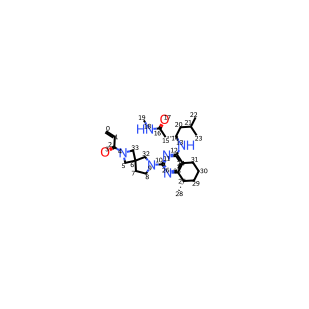 C=CC(=O)N1CC2(CCN(c3nc(N[C@H](CC(=O)NC)CC(C)C)c4c(n3)[C@@H](C)CCC4)C2)C1